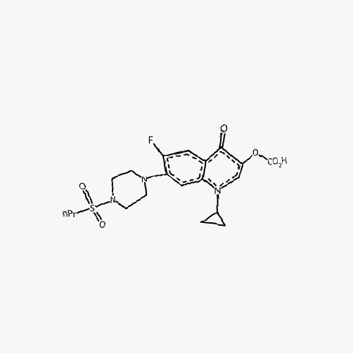 CCCS(=O)(=O)N1CCN(c2cc3c(cc2F)c(=O)c(OC(=O)O)cn3C2CC2)CC1